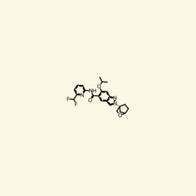 CC(C)Oc1cc2nn([C@]34CC[C@](C)(C3)OC4)cc2cc1C(=O)Nc1cccc(C(F)F)n1